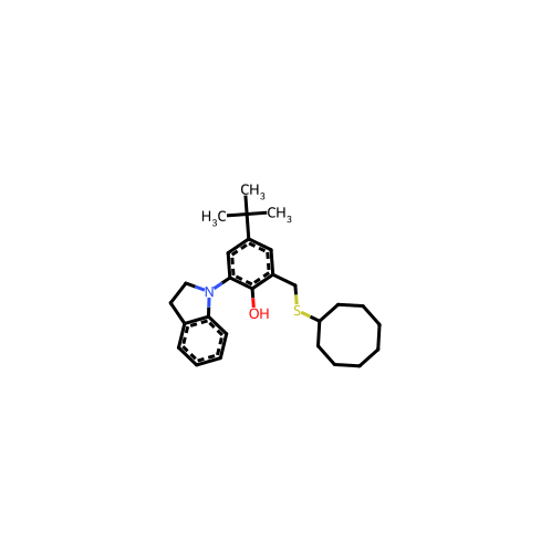 CC(C)(C)c1cc(CSC2CCCCCCC2)c(O)c(N2CCc3ccccc32)c1